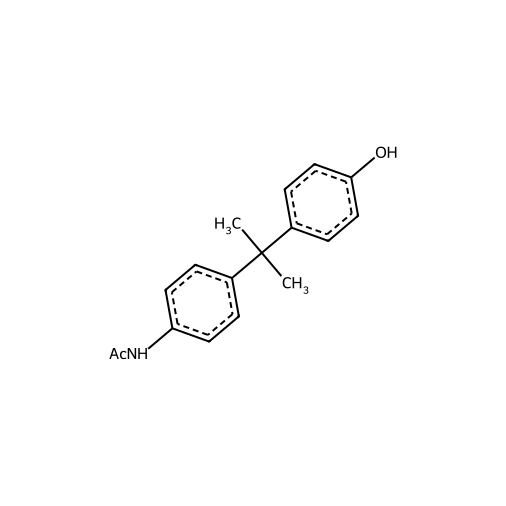 CC(=O)Nc1ccc(C(C)(C)c2ccc(O)cc2)cc1